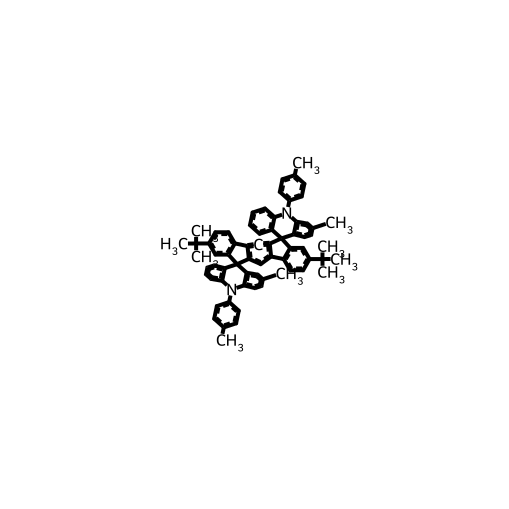 Cc1ccc(N2c3ccccc3C3(c4cc(C(C)(C)C)ccc4-c4cc5c(cc43)-c3ccc(C(C)(C)C)cc3C53c4ccccc4N(c4ccc(C)cc4)c4ccc(C)cc43)c3ccc(C)cc32)cc1